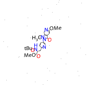 COC(=O)[C@H](Cc1ccc(-n2c(=O)c3cc(OC)ncc3n2C)cn1)NOC(C)(C)C